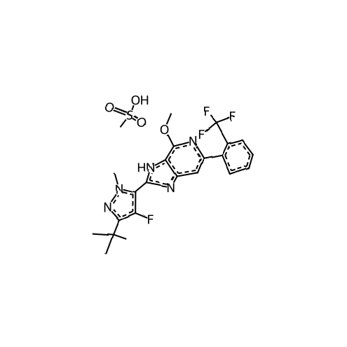 COc1nc(-c2ccccc2C(F)(F)F)cc2nc(-c3c(F)c(C(C)(C)C)nn3C)[nH]c12.CS(=O)(=O)O